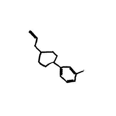 C=CCC1CCC(c2cccc(F)c2)CC1